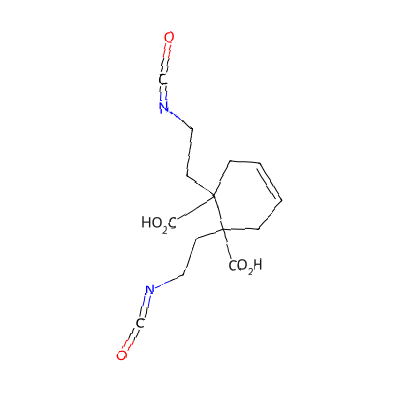 O=C=NCCC1(C(=O)O)CC=CCC1(CCN=C=O)C(=O)O